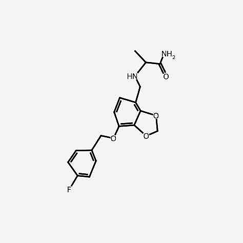 CC(NCc1ccc(OCc2ccc(F)cc2)c2c1OCO2)C(N)=O